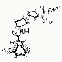 COCC(=O)N(C)[C@H]1CCN([C@H]2CCC[C@@H](NC(=O)c3cc4c(F)ccc(C)c4[nH]3)C2)C1